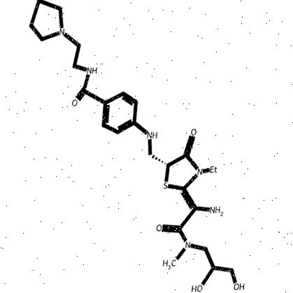 CCN1C(=O)[C@@H](CNc2ccc(C(=O)NCCN3CCCC3)cc2)S/C1=C(/N)C(=O)N(C)CC(O)CO